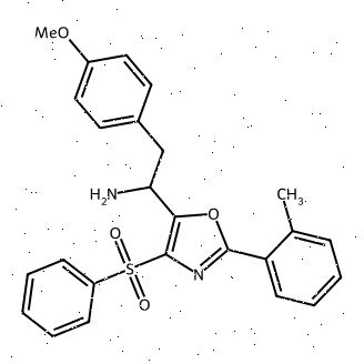 COc1ccc(CC(N)c2oc(-c3ccccc3C)nc2S(=O)(=O)c2ccccc2)cc1